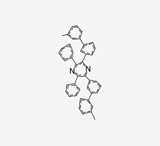 Cc1cccc(-c2cccc(-c3nc(-c4cccc(-c5cccc(C)c5)c4)c(-c4ccccc4)nc3-c3ccccc3)c2)c1